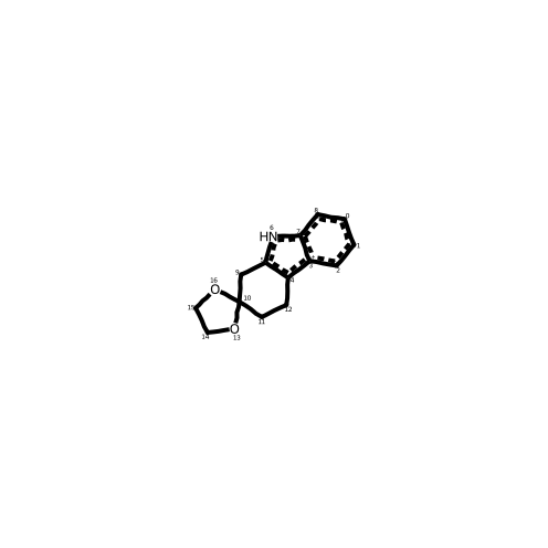 c1ccc2c3c([nH]c2c1)CC1(CC3)OCCO1